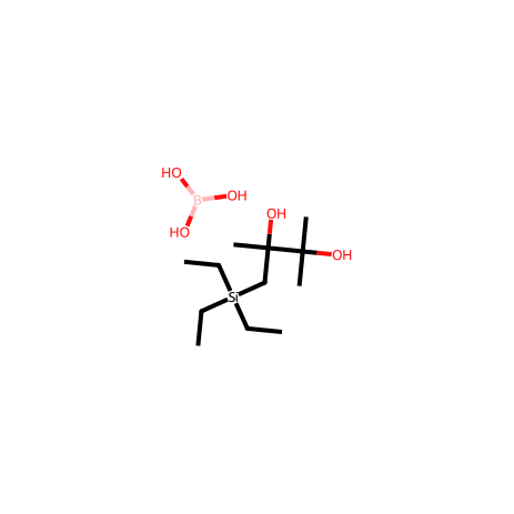 CC[Si](CC)(CC)CC(C)(O)C(C)(C)O.OB(O)O